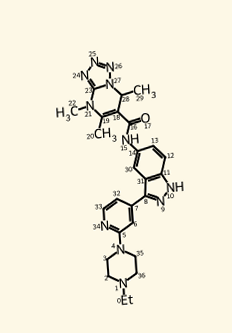 CCN1CCN(c2cc(-c3n[nH]c4ccc(NC(=O)C5=C(C)N(C)c6nnnn6C5C)cc34)ccn2)CC1